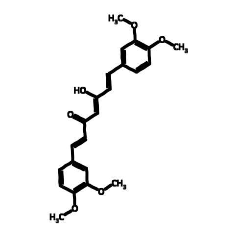 COc1ccc(C=CC(=O)C=C(O)C=Cc2ccc(OC)c(OC)c2)cc1OC